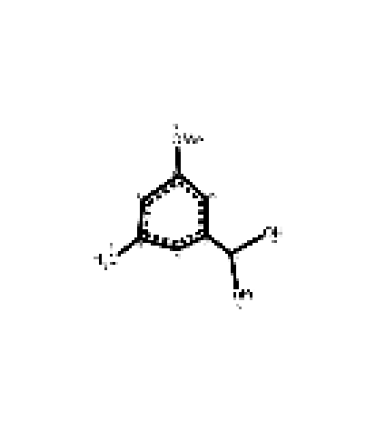 CCCC(O)c1cc(C)cc(OC)c1